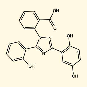 O=C(O)c1ccccc1-n1nc(-c2cc(O)ccc2O)nc1-c1ccccc1O